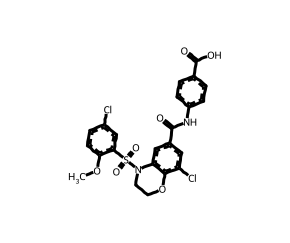 COc1ccc(Cl)cc1S(=O)(=O)N1CCOc2c(Cl)cc(C(=O)Nc3ccc(C(=O)O)cc3)cc21